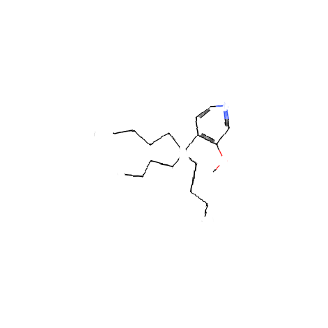 CCC[CH2][Sn]([CH2]CCC)([CH2]CCC)[c]1ccncc1OC